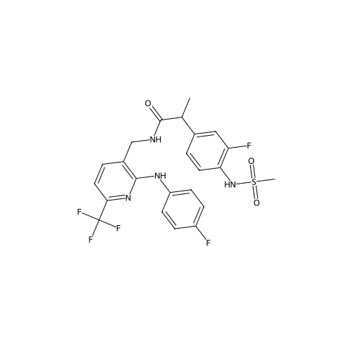 CC(C(=O)NCc1ccc(C(F)(F)F)nc1Nc1ccc(F)cc1)c1ccc(NS(C)(=O)=O)c(F)c1